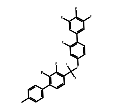 Cc1ccc(-c2ccc(C(F)(F)Oc3ccc(-c4cc(F)c(F)c(F)c4)c(F)c3)c(F)c2F)cc1